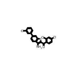 Nc1c(C(=O)c2ccc(Cl)cc2Cl)sc2cc(-c3cccc(Cl)c3)ccc12